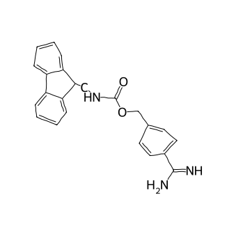 N=C(N)c1ccc(COC(=O)NCC2c3ccccc3-c3ccccc32)cc1